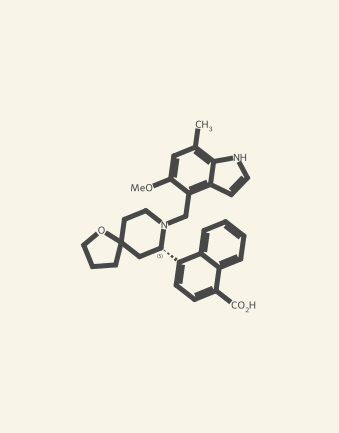 COc1cc(C)c2[nH]ccc2c1CN1CCC2(CCCO2)C[C@H]1c1ccc(C(=O)O)c2ccccc12